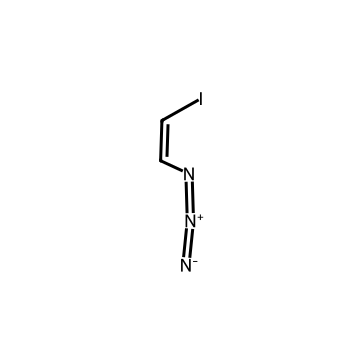 [N-]=[N+]=N/C=C\I